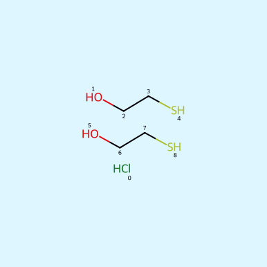 Cl.OCCS.OCCS